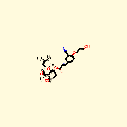 CO[C@@H]1[C@H](OC(=O)/C=C/c2ccc(OCCCO)c(C#N)c2)CC[C@]2(CO2)[C@H]1[C@@]1(C)O[C@@H]1CC=C(C)C